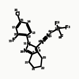 F[B-](F)(F)F.N#[N+]c1c2c(nn1-c1ccc(Cl)cc1F)CCCC2